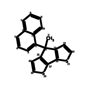 CC1(c2cccc3ccccc23)c2ccsc2-c2sccc21